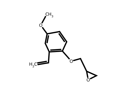 C=Cc1cc(OC)ccc1OCC1CO1